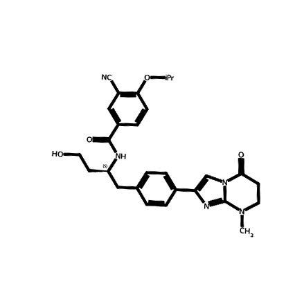 CC(C)Oc1ccc(C(=O)N[C@H](CCO)Cc2ccc(-c3cn4c(n3)N(C)CCC4=O)cc2)cc1C#N